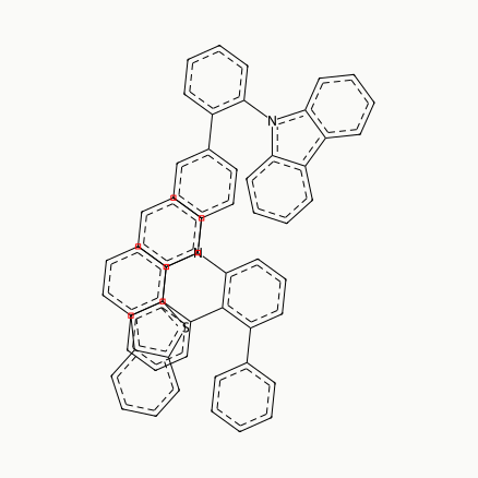 c1ccc(-c2ccccc2-c2c(-c3ccccc3)cccc2N(c2ccc(-c3ccccc3-n3c4ccccc4c4ccccc43)cc2)c2cccc3c2sc2ccccc23)cc1